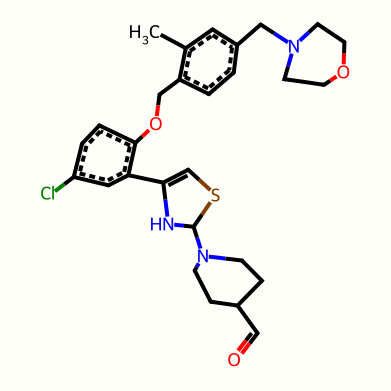 Cc1cc(CN2CCOCC2)ccc1COc1ccc(Cl)cc1C1=CSC(N2CCC(C=O)CC2)N1